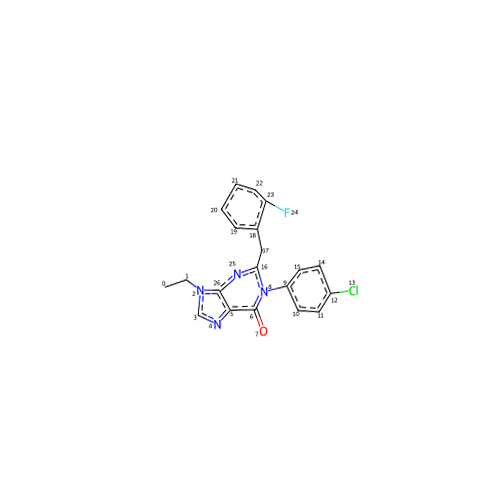 CCn1cnc2c(=O)n(-c3ccc(Cl)cc3)c(Cc3ccccc3F)nc21